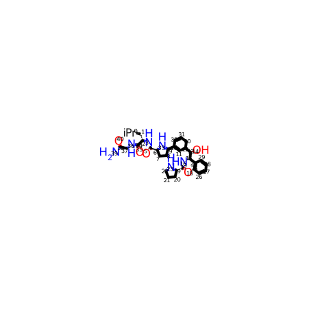 CC(C)C[C@H](NC(=O)[C@@H]1CCC(C2=CC([C@H](O)[C@@H](NC(=O)[C@@H]3CCCN3)c3ccccc3)CC=C2)N1)C(=O)NCC(N)=O